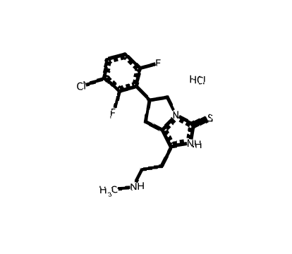 CNCCc1[nH]c(=S)n2c1CC(c1c(F)ccc(Cl)c1F)C2.Cl